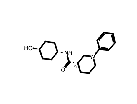 O=C(N[C@H]1CC[C@H](O)CC1)[C@H]1CCCN(c2ccccc2)C1